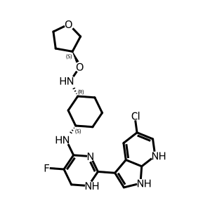 FC1=C(N[C@H]2CCC[C@@H](NO[C@H]3CCOC3)C2)N=C(C2=CNC3NC=C(Cl)C=C23)NC1